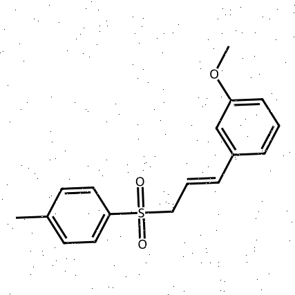 COc1cccc(/C=C/CS(=O)(=O)c2ccc(C)cc2)c1